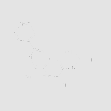 CCCC[C@@H](C=O)NC(=O)[C@H](C)NC(=O)[C@@H](NC(=O)c1ccncc1)C(C)(C)C